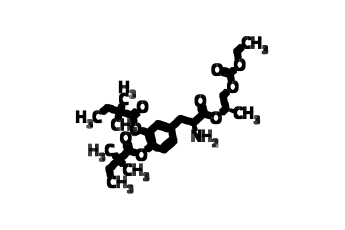 CCOC(=O)OC[C@H](C)OC(=O)[C@@H](N)Cc1ccc(OC(=O)C(C)(C)CC)c(OC(=O)C(C)(C)CC)c1